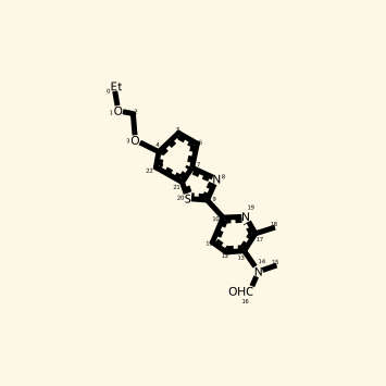 CCOCOc1ccc2nc(-c3ccc(N(C)C=O)c(C)n3)sc2c1